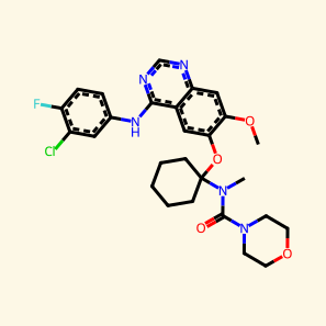 COc1cc2ncnc(Nc3ccc(F)c(Cl)c3)c2cc1OC1(N(C)C(=O)N2CCOCC2)CCCCC1